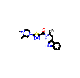 CCCCC(Cc1c[nH]c2ccccc12)NC(=O)c1nnc(N2CCN(C)C(C)C2)s1